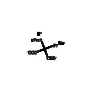 CCCCCC(C(=O)[O-])(C(=O)[O-])C(C)C.[K+].[Na+]